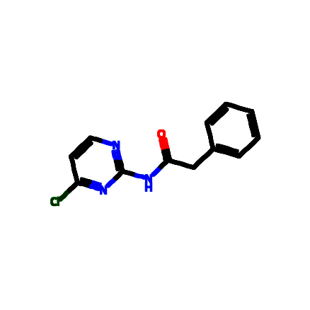 O=C(Cc1ccccc1)Nc1nccc(Cl)n1